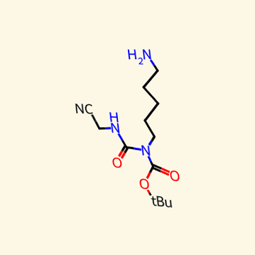 CC(C)(C)OC(=O)N(CCCCCN)C(=O)NCC#N